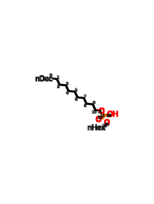 CCCCCCCCCCCCCCCCCCCCOP(=O)(O)OCCCCCC